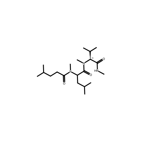 CNC(=O)[C@H](C(C)C)N(C)C(=O)C(CC(C)C)N(C)C(=O)CCC(C)C